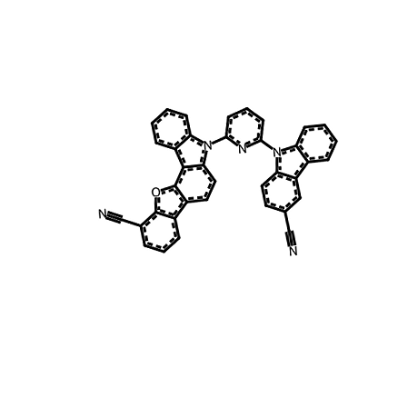 N#Cc1ccc2c(c1)c1ccccc1n2-c1cccc(-n2c3ccccc3c3c4oc5c(C#N)cccc5c4ccc32)n1